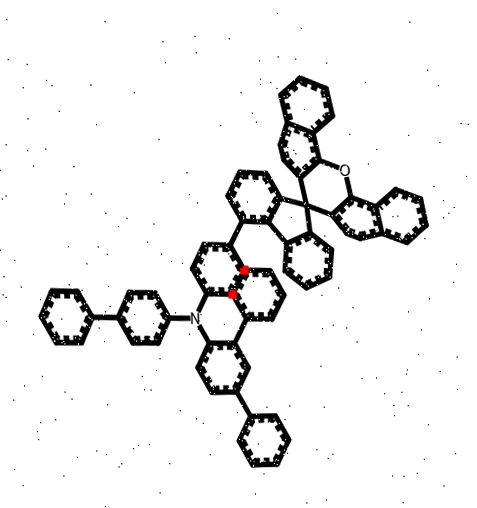 c1ccc(-c2ccc(N(c3ccc(-c4cccc5c4-c4ccccc4C54c5ccc6ccccc6c5Oc5c4ccc4ccccc54)cc3)c3ccc(-c4ccccc4)cc3-c3ccccc3)cc2)cc1